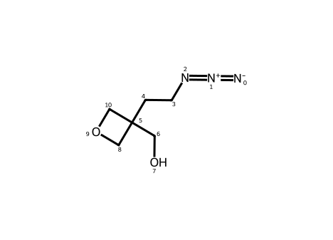 [N-]=[N+]=NCCC1(CO)COC1